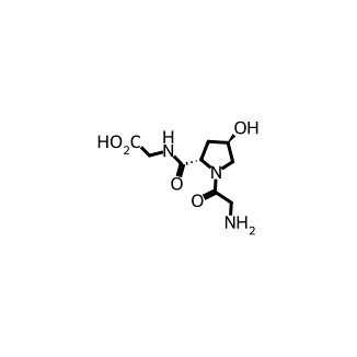 NCC(=O)N1C[C@H](O)C[C@H]1C(=O)NCC(=O)O